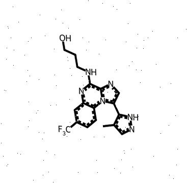 Cc1cn[nH]c1-c1cnc2c(NCCCO)nc3cc(C(F)(F)F)ccc3n12